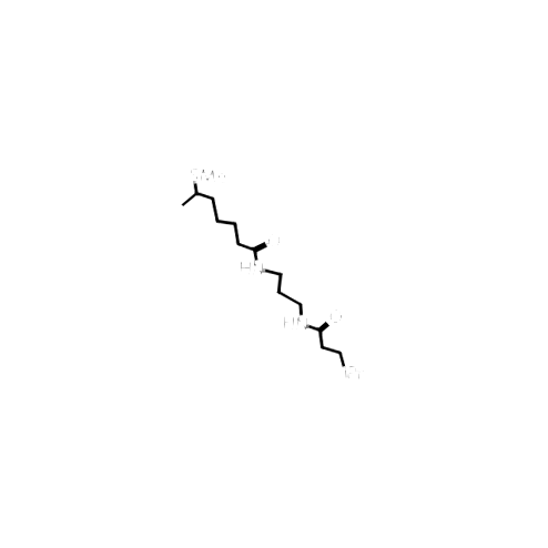 CSC(C)CCCCC(=O)NCCCNC(=O)CCC(C)C